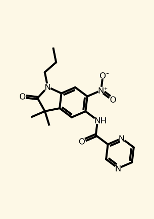 CCCN1C(=O)C(C)(C)c2cc(NC(=O)c3cnccn3)c([N+](=O)[O-])cc21